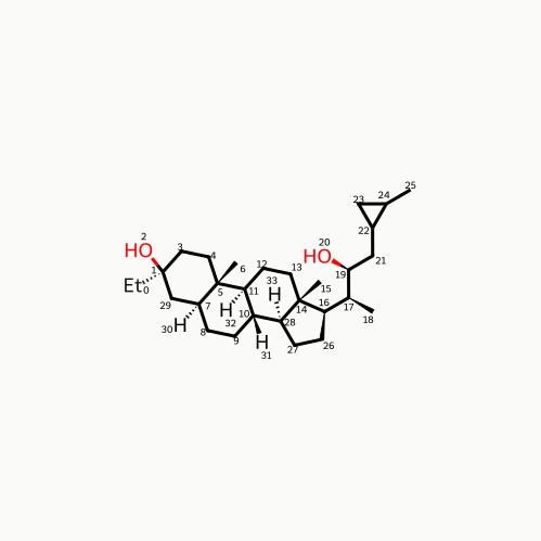 CC[C@]1(O)CC[C@@]2(C)[C@@H](CC[C@@H]3[C@@H]2CC[C@]2(C)[C@@H]([C@H](C)[C@@H](O)CC4CC4C)CC[C@@H]32)C1